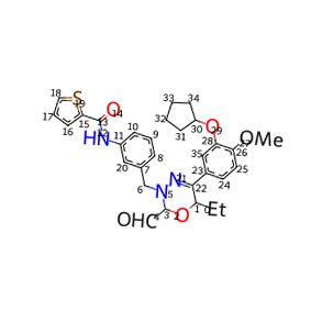 CCC1OC(C=O)N(Cc2cccc(NC(=O)c3cccs3)c2)N=C1c1ccc(OC)c(OC2CCCC2)c1